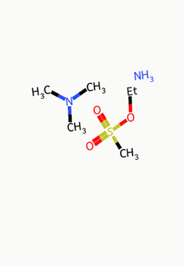 CCOS(C)(=O)=O.CN(C)C.N